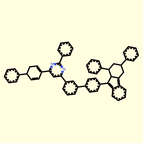 C1=CC(c2ccccc2)CC=C1c1cc(-c2cccc(-c3ccc(C4=c5ccccc5=C5CC(c6ccccc6)CC(c6ccccc6)C54)cc3)c2)nc(-c2ccccc2)n1